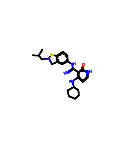 CC(C)CN1Cc2cc(NC(=N)c3c(NC4CCCCC4)cc[nH]c3=O)ccc2S1